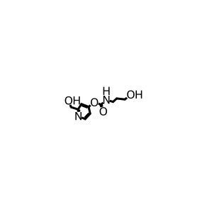 O=C(NCCCO)Oc1ccnc(CO)c1